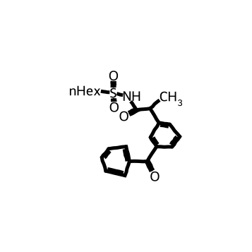 CCCCCCS(=O)(=O)NC(=O)C(C)c1cccc(C(=O)c2ccccc2)c1